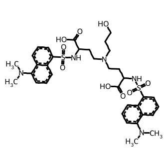 CN(C)c1cccc2c(S(=O)(=O)NC(CCN(CCCO)CCC(NS(=O)(=O)c3cccc4c(N(C)C)cccc34)C(=O)O)C(=O)O)cccc12